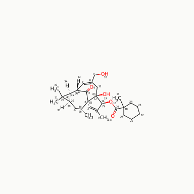 CC1=C[C@]23C(=O)[C@@H](C=C(CO)C[C@]2(O)[C@H]1OC(=O)C1(C)CCCCC1)[C@H]1[C@@H](C[C@H]3C)C1(C)C